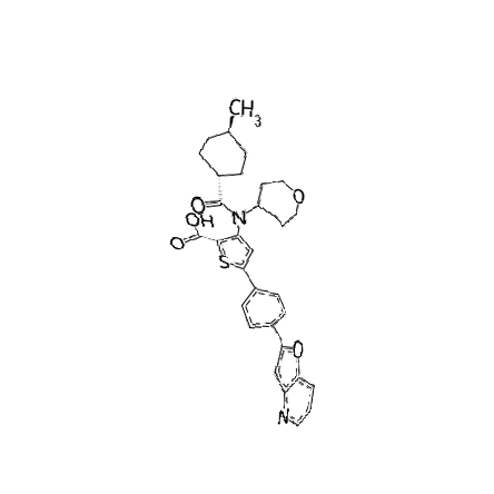 C[C@H]1CC[C@H](C(=O)N(c2cc(-c3ccc(-c4cc5ncccc5o4)cc3)sc2C(=O)O)C2CCOCC2)CC1